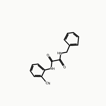 N#Cc1ccccc1NC(=O)C(=O)NCc1ccccc1